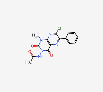 CC(=O)Nn1c(=O)c2nc(-c3ccccc3)c(Cl)nc2n(C)c1=O